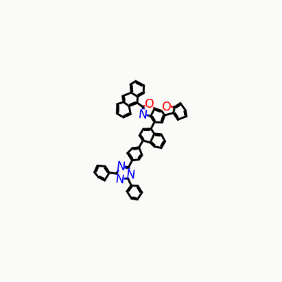 c1ccc(-c2nc(-c3ccccc3)nc(-c3ccc(-c4ccc(-c5cc6c7ccccc7oc6c6oc(-c7c8ccccc8cc8ccccc78)nc56)c5ccccc45)cc3)n2)cc1